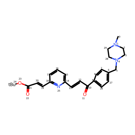 CN1CCN(Cc2ccc(C(=O)/C=C/c3cccc(/C=C/C(=O)OC(C)(C)C)n3)cc2)CC1